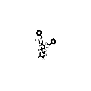 Cc1cn2c(nc1=O)O[C@@H]1[C@H]2O[C@](CN)(COCc2ccccc2)[C@H]1OCc1ccccc1